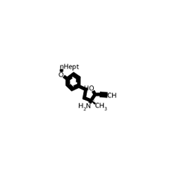 C#CC(O)[C@](C)(N)CCc1ccc(OCCCCCCC)cc1